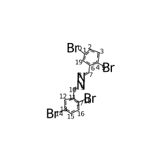 Brc1ccc(Br)c(C=NN=Cc2cc(Br)ccc2Br)c1